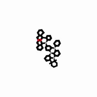 CC12CCCCC1(C)N1c3cccc4c3B(c3ccc(N(c5ccccc5-c5cccc6ccccc56)c5cccc6ccccc56)cc3N4c3ccccc3)c3cccc2c31